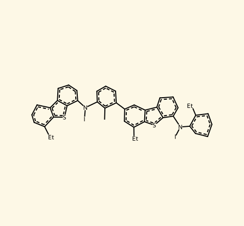 CCc1ccccc1N(I)c1cccc2c1sc1c(CC)cc(-c3cccc(N(I)c4cccc5c4sc4c(CC)cccc45)c3C)cc12